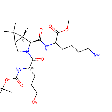 COC(=O)C(CCCCN)NC(=O)[C@@H]1[C@@H]2C(CN1C(=O)[C@H](CCCO)NC(=O)OC(C)(C)C)C2(C)C